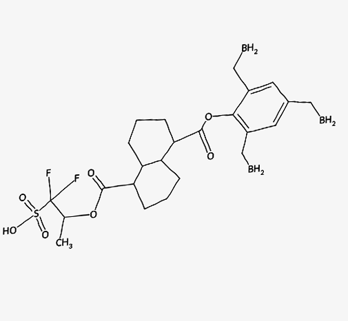 BCc1cc(CB)c(OC(=O)C2CCCC3C(C(=O)OC(C)C(F)(F)S(=O)(=O)O)CCCC23)c(CB)c1